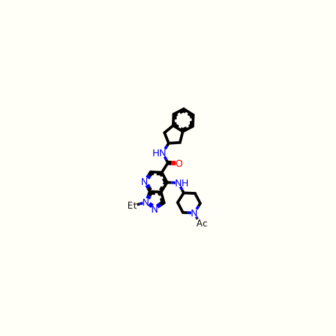 CCn1ncc2c(NC3CCN(C(C)=O)CC3)c(C(=O)NC3Cc4ccccc4C3)cnc21